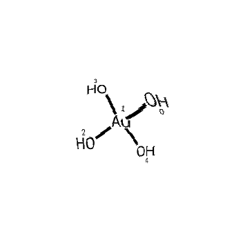 [OH][Au]([OH])([OH])[OH]